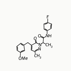 COc1cccc(Cc2cc(C)nn(C(C)C(=O)Nc3ccc(F)cc3)c2=O)c1